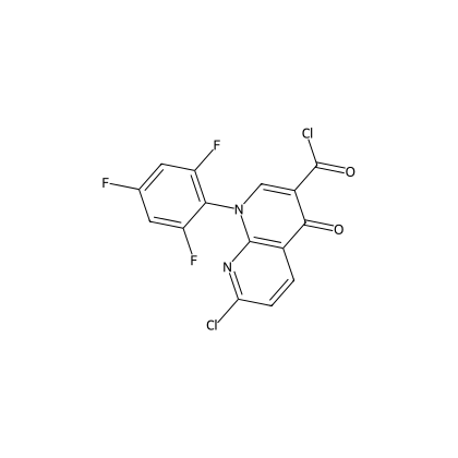 O=C(Cl)c1cn(-c2c(F)cc(F)cc2F)c2nc(Cl)ccc2c1=O